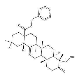 CC1(C)CC[C@]2(C(=O)OCc3ccccc3)CC[C@]3(C)C(=CCC4[C@@]5(C)CCC(=O)[C@@](C)(CO)[C@@H]5CC[C@]43C)[C@@H]2C1